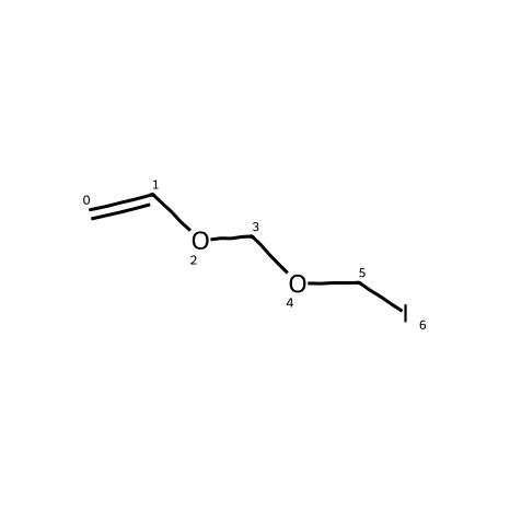 C=COCOCI